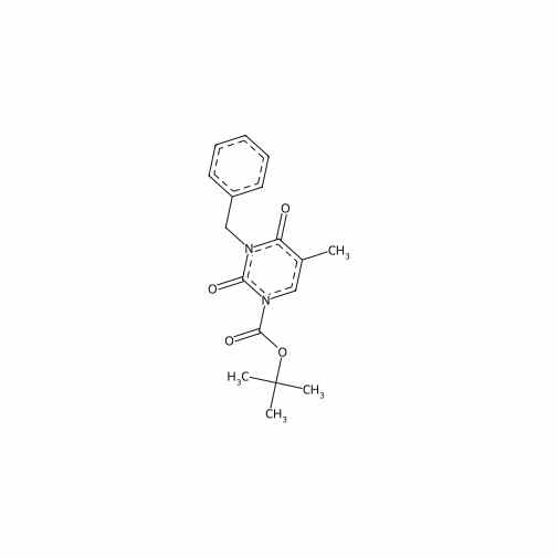 Cc1cn(C(=O)OC(C)(C)C)c(=O)n(Cc2ccccc2)c1=O